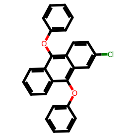 Clc1ccc2c(Oc3ccccc3)c3ccccc3c(Oc3ccccc3)c2c1